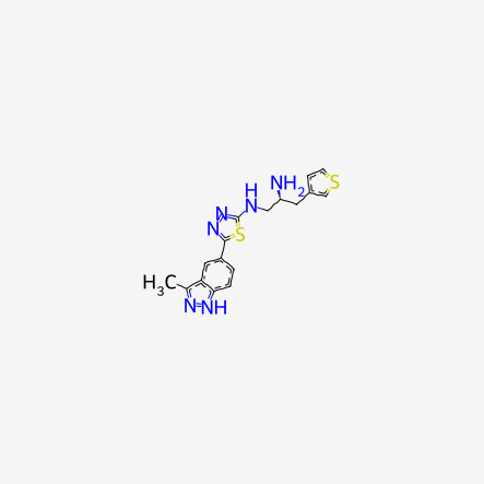 Cc1n[nH]c2ccc(-c3nnc(NC[C@@H](N)Cc4ccsc4)s3)cc12